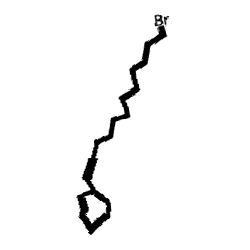 BrCCCCCCCCCCC#Cc1ccccc1